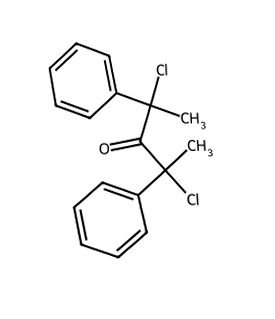 CC(Cl)(C(=O)C(C)(Cl)c1ccccc1)c1ccccc1